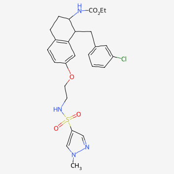 CCOC(=O)NC1CCc2ccc(OCCNS(=O)(=O)c3cnn(C)c3)cc2C1Cc1cccc(Cl)c1